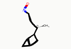 C[C@@H](CCN=O)C1CC2CC21